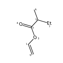 C=COC(=O)C(C)CC